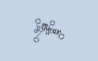 CC(C)CN(CC(CCc1ccccc1)C(=O)OCc1ccccc1)C(=O)N[C@@](Cc1ccccc1)(Cc1ccc(-c2ccccc2)cc1)C(=O)O